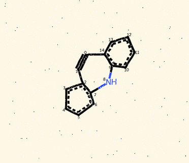 C1#Cc2ccccc2Nc2ccccc21